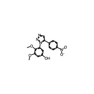 COc1cc(O)cc(-n2nncc2-c2ccc([N+](=O)[O-])cc2)c1OC